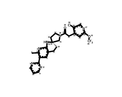 Cc1nc2c(cc1-c1ncccn1)CC[C@@]1(CCN(C(=O)Cc3cc(OC(F)(F)F)ncc3Cl)C1)N2